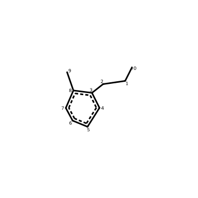 [CH2]CCc1ccccc1C